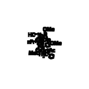 C#CCN(CC(=O)N(CCOC)CC(=O)Oc1ccccc1OC)C(=O)CN(CCC)C(=O)CN(CC=C)C(=O)CN(CCOC)C(=O)CN(C(C)=O)[C@@H](C)c1ccccc1